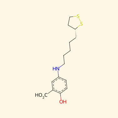 O=C(O)c1cc(NCCCCC[C@@H]2CCSS2)ccc1O